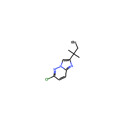 CC(C)(C)CC(C)(C)c1cn2nc(Cl)ccc2n1